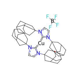 F[B-](F)(F)F.c1cn(C23CC4CC(CC(C4)C2)C3)[c](=[Cu]=[c]2n(C34CC5CC(CC(C5)C3)C4)ccn2C23CC4CC(CC(C4)C2)C3)n1C12CC3CC(CC(C3)C1)C2